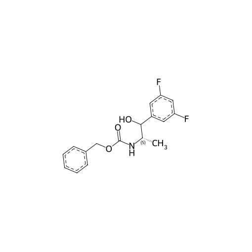 C[C@H](NC(=O)OCc1ccccc1)C(O)c1cc(F)cc(F)c1